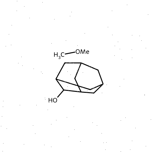 COC.OC1C2CC3CC(C2)CC1C3